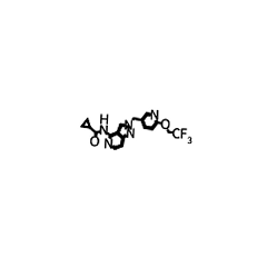 O=C(Nc1nccc2nn(Cc3ccc(OCC(F)(F)F)nc3)cc12)C1CC1